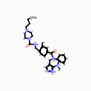 CSCCCN1CCN(C(=O)NCc2ccc(C(=O)N3Cc4cn[nH]c4N(C)c4ccccc43)cc2C)CC1